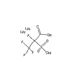 O=C(O)C(F)(C(F)(F)F)S(=O)(=O)O.[LiH].[LiH]